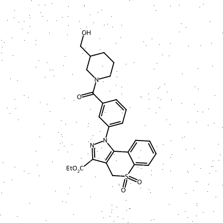 CCOC(=O)c1nn(-c2cccc(C(=O)N3CCCC(CO)C3)c2)c2c1CS(=O)(=O)c1ccccc1-2